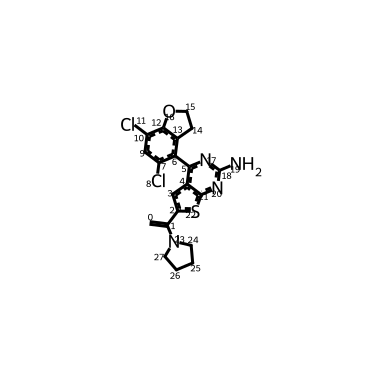 C=C(c1cc2c(-c3c(Cl)cc(Cl)c4c3CCO4)nc(N)nc2s1)N1CCCC1